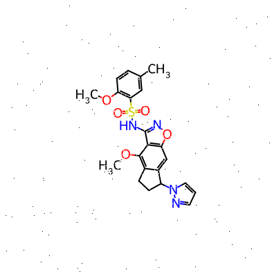 COc1ccc(C)cc1S(=O)(=O)Nc1noc2cc3c(c(OC)c12)CCC3n1cccn1